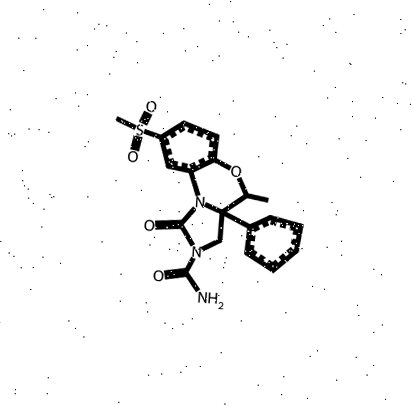 CC1Oc2ccc(S(C)(=O)=O)cc2N2C(=O)N(C(N)=O)CC12c1ccccc1